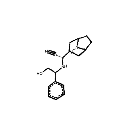 CN1C2CCC1CC([C@@H](C#N)NC(CO)c1ccccc1)C2